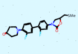 CSCC1CN(c2ccc(-c3ccc(N4CCC(=O)CC4)c(F)c3)c(F)c2)C(=O)O1